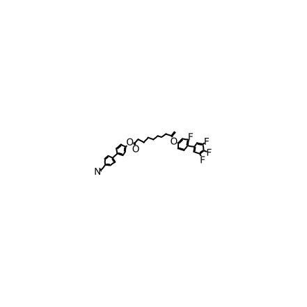 C=C(CCCCCCCC(=O)Oc1ccc(-c2ccc(C#N)cc2)cc1)Oc1ccc(-c2cc(F)c(F)c(F)c2)c(F)c1